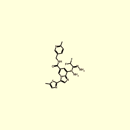 Cc1ccc(CNC(=O)c2cc(N(N)/C(=N\N)C(F)F)c3ncc(-c4ncc(C)s4)n3c2)cn1